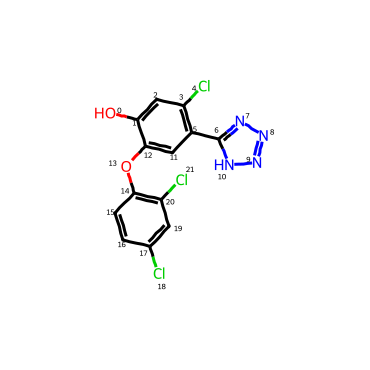 Oc1cc(Cl)c(-c2nnn[nH]2)cc1Oc1ccc(Cl)cc1Cl